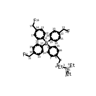 CC[NH+](CC)CC.FCc1ccc([B-](c2ccc(CF)cc2)(c2ccc(CF)cc2)c2ccc(CF)cc2)cc1